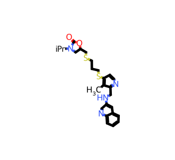 Cc1c(SCCCSCC2CN(C(C)C)C(=O)O2)ccnc1CNc1cnc2ccccc2c1